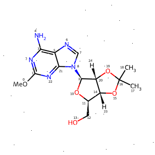 COc1nc(N)c2ncn([C@@H]3O[C@H](CO)[C@H]4OC(C)(C)O[C@H]43)c2n1